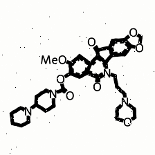 COc1cc2c3c(n(CCCN4CCOCC4)c(=O)c2cc1OC(=O)N1CCC(N2CCCCC2)CC1)-c1cc2c(cc1C3=O)OCO2